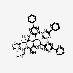 C/C(N)=N/N=C(\N)[C@@H]([C@@H](c1nnc(-c2ccccc2)nn1)[C@H](c1nnc(-c2ccccn2)nn1)[C@H](C)c1nnc(-c2ncccn2)nn1)[C@H](C)C(=N)/N=N\C=N